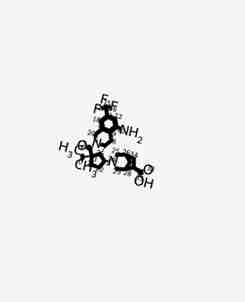 CC(C)[C@]1(C(=O)N2CCc3c(N)cc(C(F)(F)F)cc3C2)CC[C@@H](N2CC3CC(C2)C(C(=O)O)C3)C1